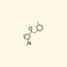 Cc1cccc(CC(=O)c2cccc(N(C)C)c2)c1